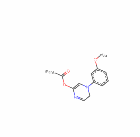 CCCCOc1cccc(N2C=C(OC(=O)C(C)CCC)N=CC2)c1